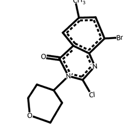 Cc1cc(Br)c2nc(Cl)n(C3CCOCC3)c(=O)c2c1